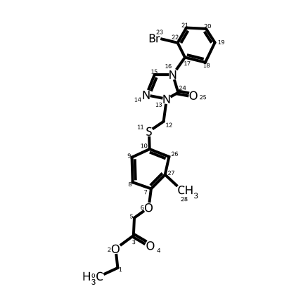 CCOC(=O)COc1ccc(SCn2ncn(-c3ccccc3Br)c2=O)cc1C